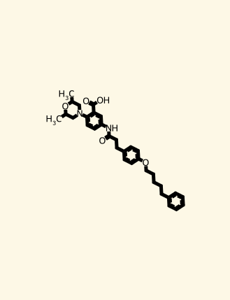 CC1CN(c2ccc(NC(=O)CCc3ccc(OCCCCCc4ccccc4)cc3)cc2C(=O)O)CC(C)O1